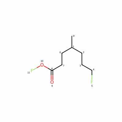 CC(CCCF)CCC(=O)OF